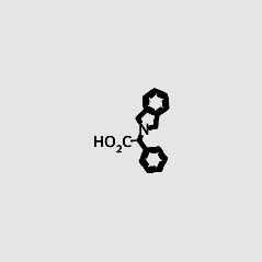 O=C(O)[C@@H](c1ccccc1)N1Cc2ccccc2C1